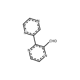 O=Cc1nccnc1-c1cnccn1